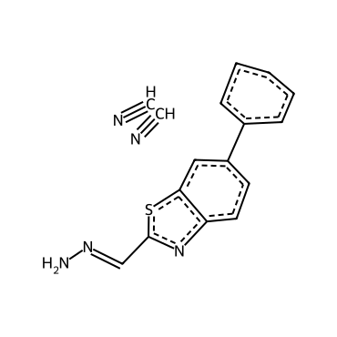 C#N.C#N.NN=Cc1nc2ccc(-c3ccccc3)cc2s1